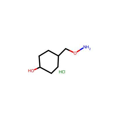 Cl.NOCC1CCC(O)CC1